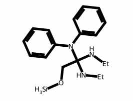 CCNC(CO[SiH3])(NCC)N(c1ccccc1)c1ccccc1